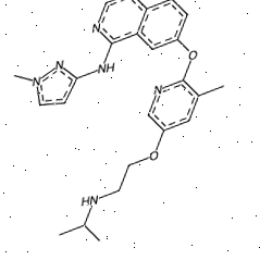 Cc1cc(OCCNC(C)C)cnc1Oc1ccc2ncnc(Nc3ccn(C)n3)c2c1